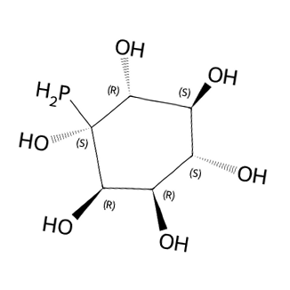 O[C@@H]1[C@@H](O)[C@@H](O)[C@@](O)(P)[C@H](O)[C@H]1O